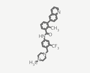 Cc1c(C(=O)Nc2ccc(CN3CCN(C)CC3)c(C(F)(F)F)c2)cccc1-c1ccc2ncccc2c1